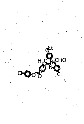 CCOc1ccc(N2C(C(C)N3CCN(C(=O)COc4ccc(Cl)cc4)CC3)=Nc3cc(Cl)ccc3C2C=O)cc1